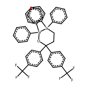 FC(F)(F)c1ccc(C2(c3ccc(C(F)(F)F)cc3)CC[Si](c3ccccc3)(c3ccccc3)[Si](c3ccccc3)(c3ccccc3)O2)cc1